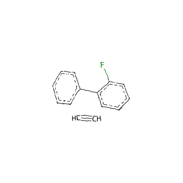 C#C.Fc1ccccc1-c1ccccc1